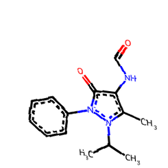 Cc1c(NC=O)c(=O)n(-c2ccccc2)n1C(C)C